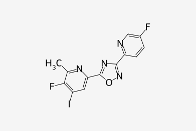 Cc1nc(-c2nc(-c3ccc(F)cn3)no2)cc(I)c1F